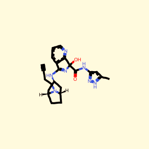 C#CCCN1[C@@H]2CC[C@H]1C[C@H](NC1=NC(O)(C(=O)Nc3cc(C)[nH]n3)c3ncccc31)C2